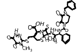 Cn1c(SCC2=C(C(=O)O)N3C(=S)[C@@](C)(NC(=O)C(NC(=O)N4CCN(Cc5ccccc5)C(=O)C4=O)c4ccccc4)[C@@H]3SC2)n[nH]c(=O)c1=O